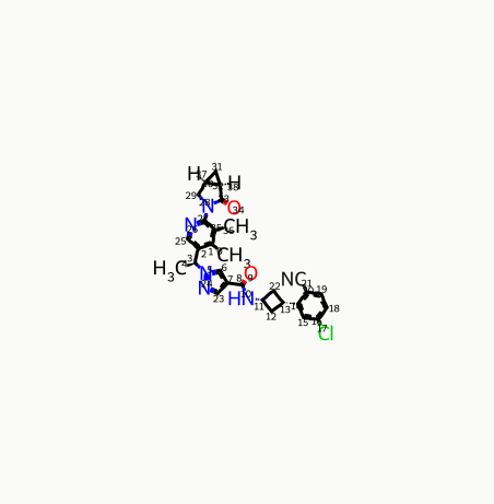 Cc1c([C@H](C)n2cc(C(=O)N[C@H]3C[C@@H](c4cc(Cl)ccc4C#N)C3)cn2)cnc(N2C[C@H]3C[C@H]3C2=O)c1C